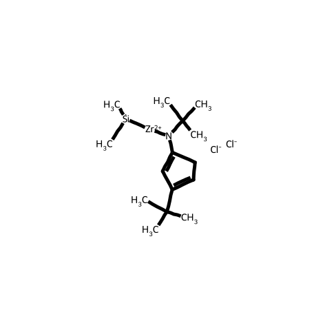 C[Si](C)[Zr+2][N](C1=CC(C(C)(C)C)=CC1)C(C)(C)C.[Cl-].[Cl-]